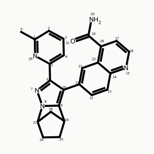 Cc1cccc(-c2nn3c(c2-c2ccc4nccc(C(N)=O)c4c2)C2CCC3C2)n1